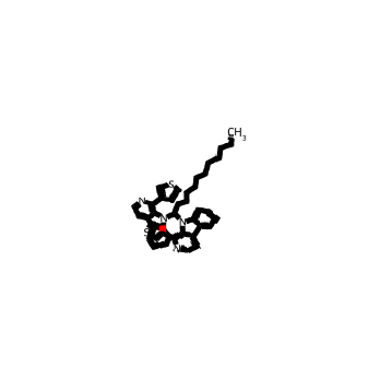 CCCCCCCCCCCC(n1c2ccccc2c2ccnc(-c3ccsc3)c21)n1c2ccccc2c2ccnc(-c3ccsc3)c21